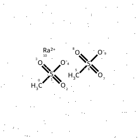 CS(=O)(=O)[O-].CS(=O)(=O)[O-].[Ra+2]